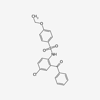 CCOc1ccc(S(=O)(=O)Nc2ccc(Cl)cc2C(=O)c2ccccc2)cc1